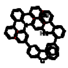 CC(C)(C)c1cc(Nc2c(-c3ccccc3)cccc2-c2ccccc2)cc(N(c2cccc(-c3ccc4oc5ccccc5c4c3)c2)c2c(-c3ccccc3)cccc2-c2ccccc2)c1